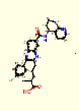 CC(CCCc1nc2cc(C(=O)NC3CCCc4ncccc43)ccc2nc1-c1ccc(F)cc1)C(=O)O